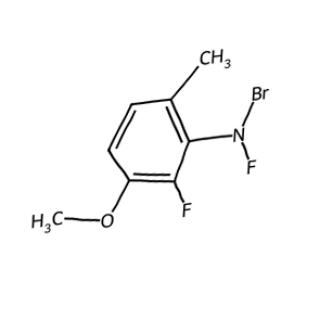 COc1ccc(C)c(N(F)Br)c1F